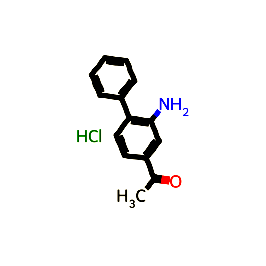 CC(=O)c1ccc(-c2ccccc2)c(N)c1.Cl